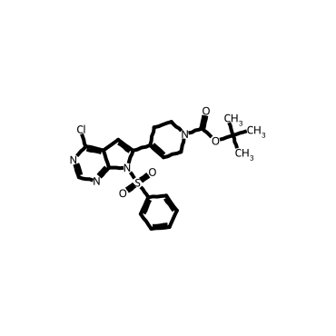 CC(C)(C)OC(=O)N1CC=C(c2cc3c(Cl)ncnc3n2S(=O)(=O)c2ccccc2)CC1